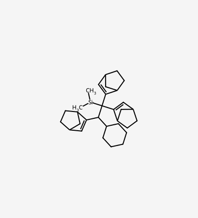 C[Si](C)C(C1=CC2CCC1C2)(C1=CC2CCC1C2)C(C1=CC2CCC1C2)C1CCCCC1